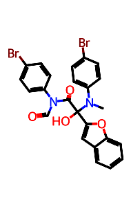 CN(c1ccc(Br)cc1)C(O)(C(=O)N(C=O)c1ccc(Br)cc1)c1cc2ccccc2o1